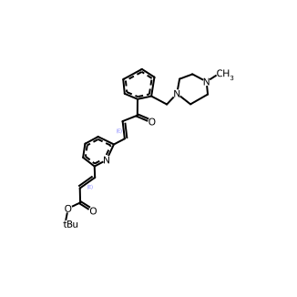 CN1CCN(Cc2ccccc2C(=O)/C=C/c2cccc(/C=C/C(=O)OC(C)(C)C)n2)CC1